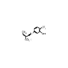 C/C=C(\C#[N+]c1ccc(C(F)(F)F)c(O)c1)C(=O)O